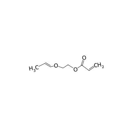 C=CC(=O)OCCOC=CC